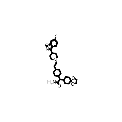 NC(=O)C(C1CCC(CCN2CCC(c3noc4cc(Cl)ccc34)CC2)CC1)C1CCC2(CC1)OCCO2